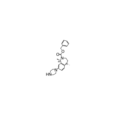 C[C@@H]1c2cc(N3CCNCC3)ccc2[C@@H](C)CCN1C(=O)OCc1ccccc1